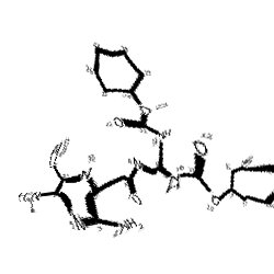 Nc1nc(N)c(C(=O)N=C(NC(=O)OC2CCCCC2)NC(=O)OC2CCCCC2)nc1Cl